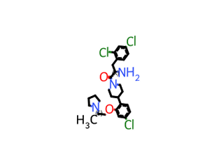 C[C@@H](COc1cc(Cl)ccc1C1CCN(C(=O)[C@H](N)Cc2ccc(Cl)cc2Cl)CC1)N1CCCC1